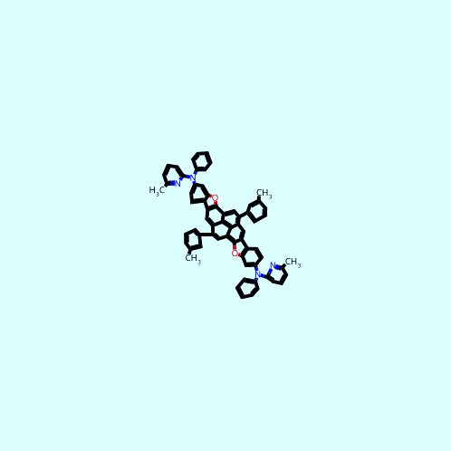 Cc1cccc(-c2cc3c4oc5cc(N(c6ccccc6)c6cccc(C)n6)ccc5c4cc4c(-c5cccc(C)c5)cc5c6oc7cc(N(c8ccccc8)c8cccc(C)n8)ccc7c6cc2c5c43)c1